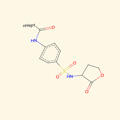 CCCCCCCC(=O)Nc1ccc(S(=O)(=O)NC2CCOC2=O)cc1